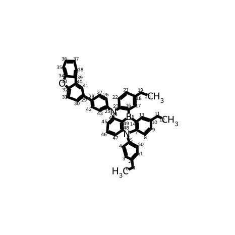 CCc1ccc(N2c3ccc(CC)cc3B3c4cc(CC)ccc4N(c4ccc(-c5ccc6oc7ccccc7c6c5)cc4)c4cccc2c43)cc1